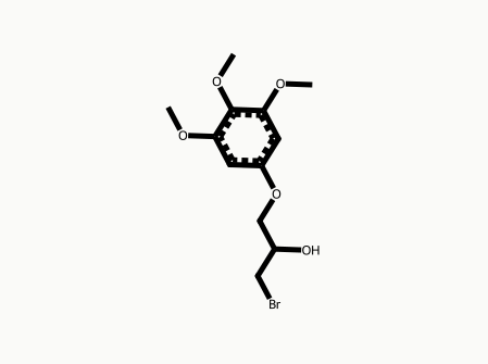 COc1cc(OCC(O)CBr)cc(OC)c1OC